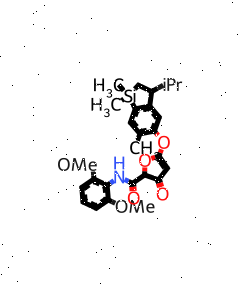 COc1cccc(OC)c1NC(=O)C1OC(Oc2cc3c(cc2C)[Si](C)(C)CC3C(C)C)=CC1=O